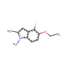 CCOc1ccc2c(cc(C)n2C)c1F